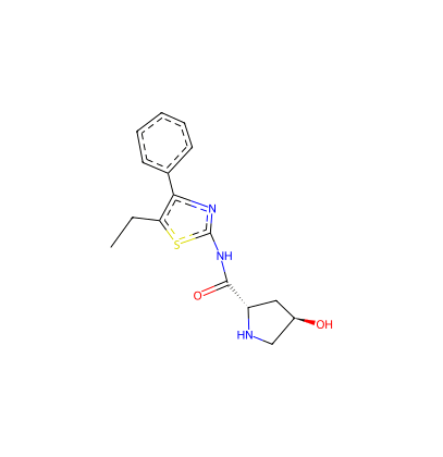 CCc1sc(NC(=O)[C@@H]2C[C@@H](O)CN2)nc1-c1ccccc1